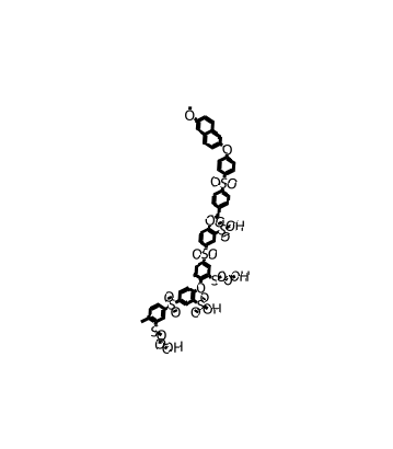 COc1ccc2cc(Oc3ccc(S(=O)(=O)c4ccc(COc5ccc(S(=O)(=O)c6ccc(Oc7ccc(S(=O)(=O)c8ccc(C)c(SOOO)c8)cc7S(=O)(=O)O)c(SOOO)c6)cc5S(=O)(=O)O)cc4)cc3)ccc2c1